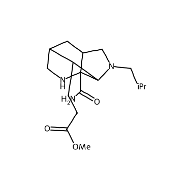 COC(=O)CCC1C2CNC3(C(N)=O)C(C2)CN(CC(C)C)C13